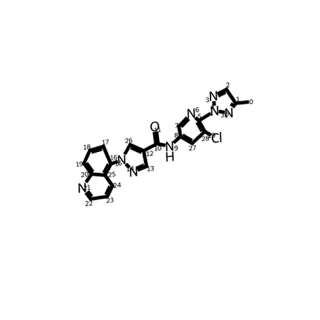 Cc1cnn(-c2ncc(NC(=O)c3cnn(-c4cccc5ncccc45)c3)cc2Cl)n1